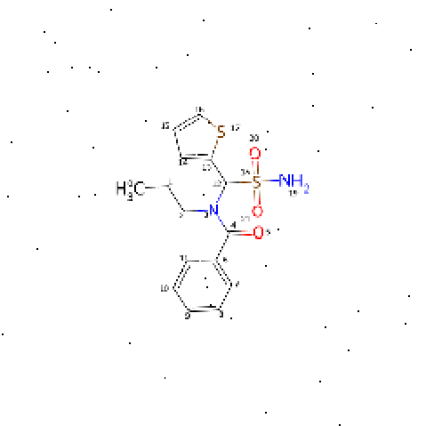 CCCN(C(=O)c1ccccc1)C(c1cccs1)S(N)(=O)=O